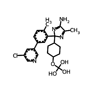 CC1=NC(c2cc(-c3cncc(Cl)c3)ccc2C)(C2CCC(OC(O)(O)O)CC2)N=C1N